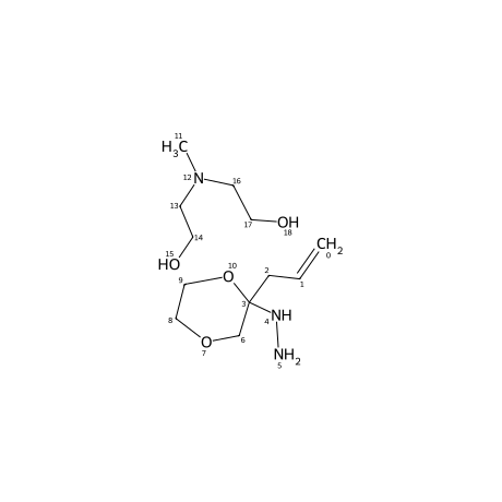 C=CCC1(NN)COCCO1.CN(CCO)CCO